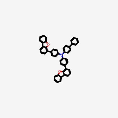 c1c(-c2cccc3c2oc2ccccc23)ccc(N(c2ccc(-c3ccccc3)cc2)c2ccc(-c3cccc4c3oc3ccccc34)cc2)c#1